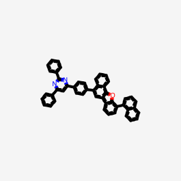 c1ccc(-c2cc(-c3ccc(-c4cc5c6cccc(-c7cccc8ccccc78)c6oc5c5ccccc45)cc3)nc(-c3ccccc3)n2)cc1